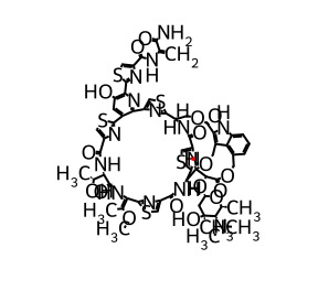 C=C(NC(=O)c1csc(-c2nc3c(cc2O)-c2nc(cs2)C(=O)N[C@@H]([C@@H](C)O)C(=O)N/C(=C(\C)OC)c2nc(cs2)C(=O)N[C@@H]2c4nc(cs4)C(=O)N[C@@H](COC(=O)c4[nH]c5cccc6c5c4CO[C@@H]2[C@H](O[C@H]2C[C@](C)(O)[C@H](N(C)C)[C@H](C)O2)C(=O)OC6)c2nc-3cs2)n1)C(N)=O